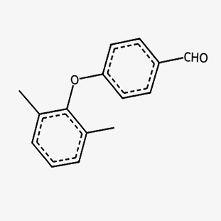 Cc1cccc(C)c1Oc1ccc(C=O)cc1